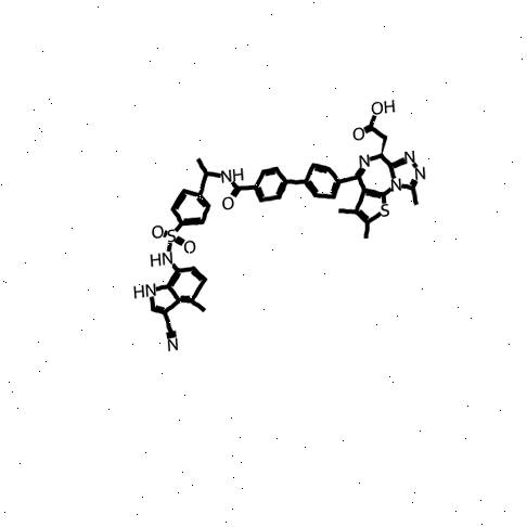 Cc1sc2c(c1C)C(c1ccc(-c3ccc(C(=O)NC(C)c4ccc(S(=O)(=O)Nc5ccc(C)c6c(C#N)c[nH]c56)cc4)cc3)cc1)=N[C@@H](CC(=O)O)c1nnc(C)n1-2